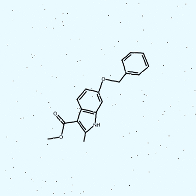 COC(=O)c1c(C)[nH]c2cc(OCc3ccccc3)ccc12